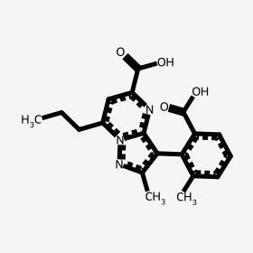 CCCc1cc(C(=O)O)nc2c(-c3c(C)cccc3C(=O)O)c(C)nn12